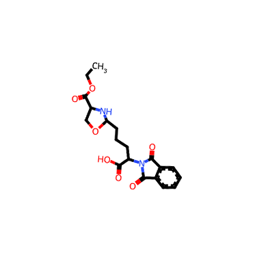 CCOC(=O)C1COC(CCCC(C(=O)O)N2C(=O)c3ccccc3C2=O)N1